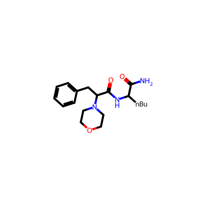 CCCCC(NC(=O)C(Cc1ccccc1)N1CCOCC1)C(N)=O